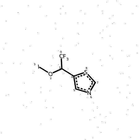 FC(F)(F)C(OI)c1cncs1